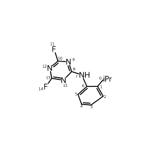 CC(C)c1ccccc1Nc1nc(F)nc(F)n1